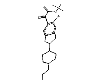 C=C(O[Si](C)(C)C)C(=O)c1cc2c(cc1Br)CC(C1CCC(CCC)CC1)C2